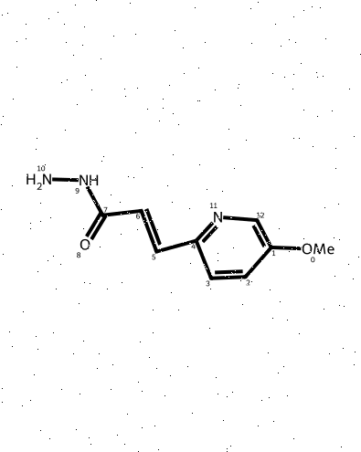 COc1ccc(C=CC(=O)NN)nc1